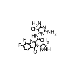 C[C@H](Nc1nc(N)nc(N)c1Cl)c1nc2c(F)c(F)ccc2c(=O)n1-c1cc[nH]n1